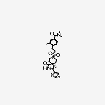 Cc1cc(C(=O)N(C)C)ccc1CCS(=O)(=O)N1CCC2(CC1)N=C(c1cscn1)NC2=O